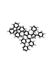 c1ccc(-c2ccc(N(c3cccc4c3-c3ccccc3C43c4ccccc4-c4ccccc43)c3cccc4c3cc(-c3ccccc3)n3nc(-c5ccccc5)c(-c5ccccc5)c43)cc2)cc1